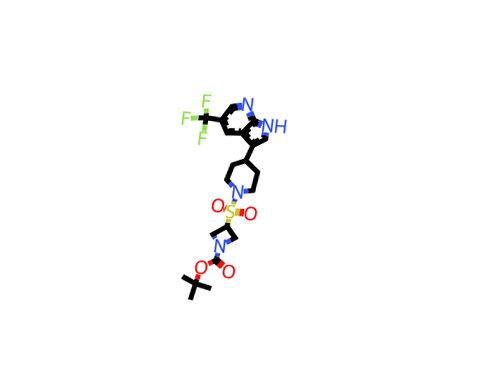 CC(C)(C)OC(=O)N1CC(S(=O)(=O)N2CCC(c3c[nH]c4ncc(C(F)(F)F)cc34)CC2)C1